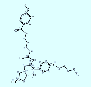 COc1ccc(C(=O)CCCCCC(=O)N[C@H](CN2CC[C@@H](O)C2)[C@@H](O)c2ccc(OCCCCF)cc2)cc1